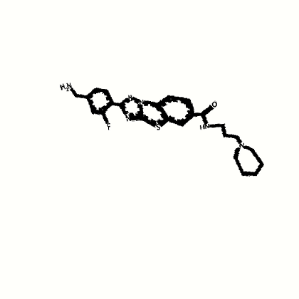 NCc1ccc(-c2nc3sc4cc(C(=O)NCCCN5CCCCC5)ccc4n3n2)c(F)c1